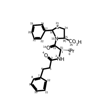 CC(C)[C@H](NC(=O)CCc1ccccc1)C(=O)N1C(c2ccccc2)SC[C@H]1C(=O)O